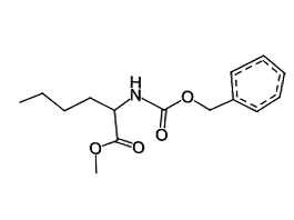 CCCCC(NC(=O)OCc1ccccc1)C(=O)OC